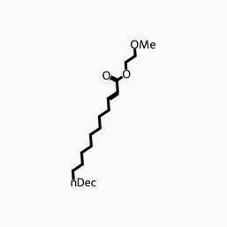 CCCCCCCCCCCCCCCCCC/C=C/C(=O)OCCOC